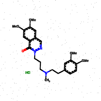 COc1ccc(CCN(C)CCCn2ncc3cc(OC)c(OC)cc3c2=O)cc1OC.Cl